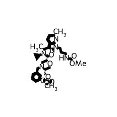 COC(=O)NCCCn1nc([C@@H](C)N(C(=O)[C@H]2CN(Cc3ccccc3)[C@@H](COS(C)(=O)=O)CO2)C2CC2)c2ccc(C)nc21